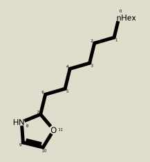 CCCCCCCCCCCCC1NC=CO1